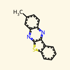 Cc1ccc2nc3c(nc2c1)sc1ccccc13